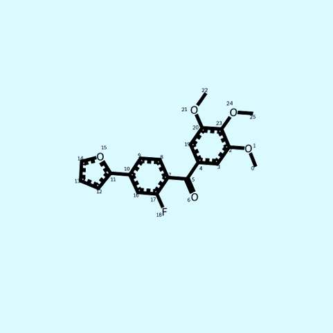 COc1cc(C(=O)c2ccc(-c3ccco3)cc2F)cc(OC)c1OC